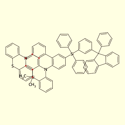 C[Si]1(C)c2ccccc2N(c2ccc([Si](c3ccccc3)(c3ccccc3)c3cccc(C4(c5ccccc5)c5ccccc5-c5ccccc54)c3)cc2-c2cccc(N3c4ccccc4Sc4ccccc43)c2)c2ccccc21